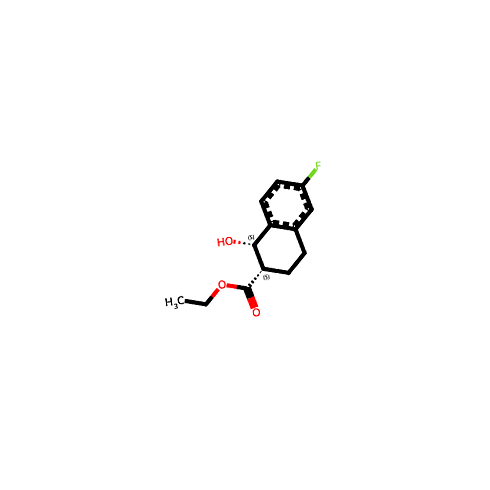 CCOC(=O)[C@H]1CCc2cc(F)ccc2[C@H]1O